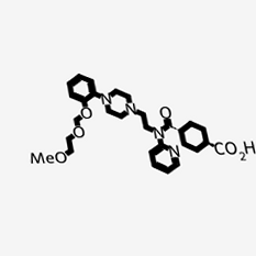 COCCOCOc1ccccc1N1CCN(CCN(c2ccccn2)C(=O)[C@H]2CC[C@H](C(=O)O)CC2)CC1